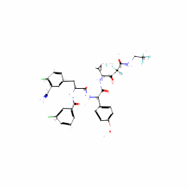 COc1ccc(C(NC(=O)C(Cc2ccc(Cl)c(C#N)c2)NC(=O)c2cccc(Cl)c2)C(=O)N[C@H](C(=O)C(F)(F)C(=O)NCC(F)(F)F)C(C)C)cc1